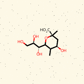 CC1C([C@H](O)[C@H](O)CO)O[C@@](C)(C(=O)O)C[C@H]1O